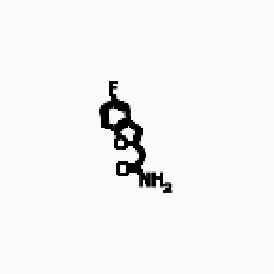 NC(=O)CC1Cc2cc(F)ccc2O1